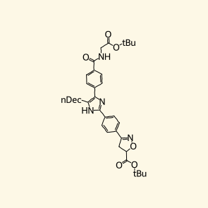 CCCCCCCCCCc1[nH]c(-c2ccc(C3=NOC(C(=O)OC(C)(C)C)C3)cc2)nc1-c1ccc(C(=O)NCC(=O)OC(C)(C)C)cc1